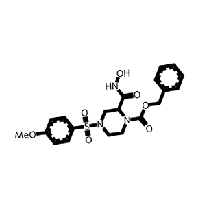 COc1ccc(S(=O)(=O)N2CCN(C(=O)OCc3ccccc3)C(C(=O)NO)C2)cc1